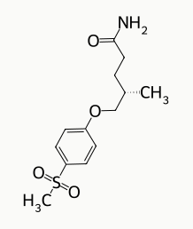 C[C@@H](CCC(N)=O)COc1ccc(S(C)(=O)=O)cc1